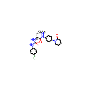 CSC[C@@H](NC(=O)Nc1ccc(Cl)cc1)C(=O)Nc1ccc(-n2ccccc2=O)cc1